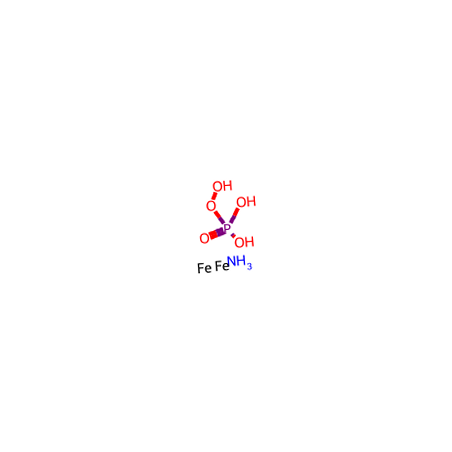 N.O=P(O)(O)OO.[Fe].[Fe]